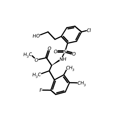 COC(=O)[C@@H](NS(=O)(=O)c1cc(Cl)ccc1CCO)C(C)c1c(F)ccc(C)c1C